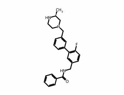 C[C@H]1CN(Cc2cccc(-c3cc(CNC(=O)c4ccccc4)ccc3F)c2)CCN1